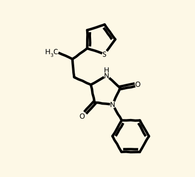 CC(CC1NC(=O)N(c2ccccc2)C1=O)c1cccs1